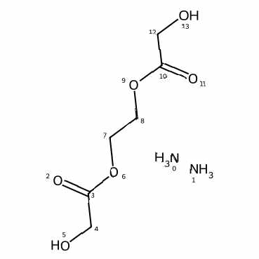 N.N.O=C(CO)OCCOC(=O)CO